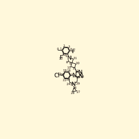 Cc1ccc(F)c(N2CC3(CC(c4nnc5n4-c4ccc(Cl)cc4CN(C4CC4)C5)C3)C2)c1F